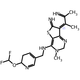 CC(=N)/C(C)=C1\C(=N)SC2=C(NCC3=CCC(OC(F)F)N=C3)N(C)CN=C21